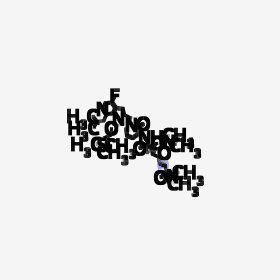 CC(C)Cc1ncc(F)c2cc(Cn3cccc(NC(=O)[C@H](CC/C=C/C(=O)N(C)C)OC(=O)N(C)C)c3=O)n(COCC[Si](C)(C)C)c12